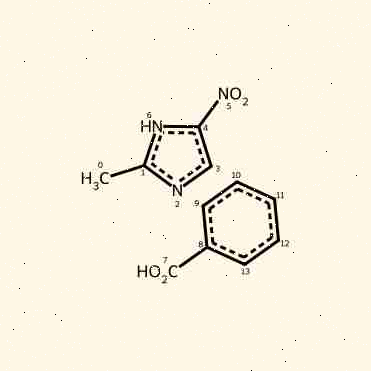 Cc1ncc([N+](=O)[O-])[nH]1.O=C(O)c1ccccc1